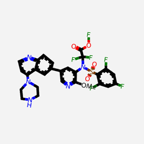 COc1ncc(-c2ccc3nccc(N4CCNCC4)c3c2)cc1N(C(F)(F)C(=O)OF)S(=O)(=O)c1c(F)cc(F)cc1F